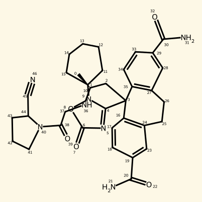 C[C@@H](CC1(c2nc(=O)on2C2CCCCC2)c2ccc(C(N)=O)cc2CCc2cc(C(N)=O)ccc21)NCC(=O)N1CCCC1C#N